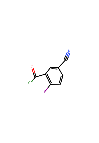 N#Cc1ccc(I)c(C(=O)Cl)c1